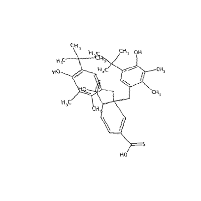 Cc1c(CC2(Cc3cc(C(C)(C)C)c(O)c(C)c3C)C=C(C(O)=S)C=CC2C(O)=S)cc(C(C)(C)C)c(O)c1C